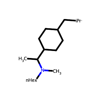 CCCCCCN(C)C(C)C1CCC(C[C](C)C)CC1